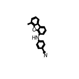 Cc1cccc2c1oc1c(Nc3ccc(C#N)cc3)cccc12